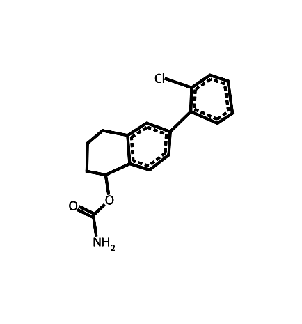 NC(=O)OC1CCCc2cc(-c3ccccc3Cl)ccc21